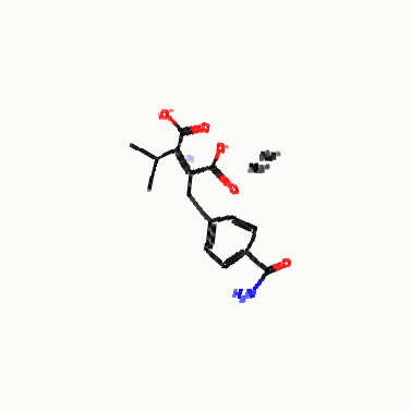 CC(C)/C(C(=O)[O-])=C(\Cc1ccc(C(N)=O)cc1)C(=O)[O-].[Na+].[Na+]